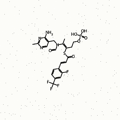 C/C(=C(\CCOP(=O)(O)O)SC(=O)/C=C/c1ccc(C(F)(F)F)cc1F)N(C=O)Cc1cnc(C)nc1N